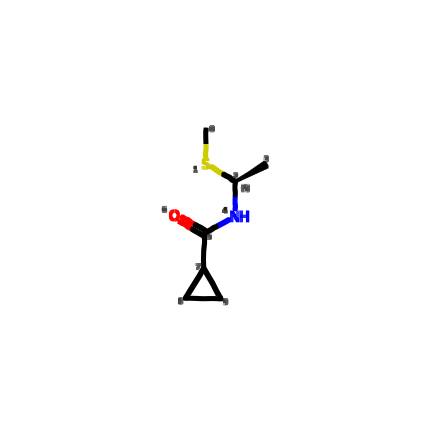 CS[C@@H](C)NC(=O)C1CC1